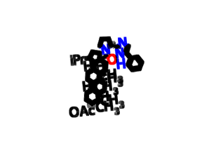 CC(=O)O[C@H]1CC[C@]2(C)[C@H]3CC[C@@H]4[C@H]5C(C(C)C)CC[C@]5(C(=O)N5CCC[C@H]5c5ncc(-c6ccccc6)[nH]5)CC[C@@]4(C)[C@]3(C)CC[C@H]2C1(C)C